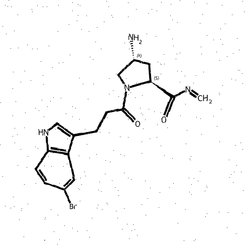 C=NC(=O)[C@@H]1C[C@@H](N)CN1C(=O)CCc1c[nH]c2ccc(Br)cc12